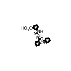 O=C(O)c1cccc(NC(=S)NN=C(OCc2ccccc2)c2ccccc2O)c1